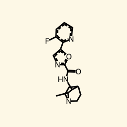 CC1C(NC(=O)c2ncc(-c3ncccc3F)o2)C2CCN1CC2